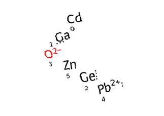 [Cd].[Ga].[Ge].[O-2].[Pb+2].[Zn]